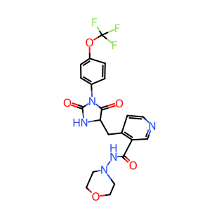 O=C(NN1CCOCC1)c1cnccc1CC1NC(=O)N(c2ccc(OC(F)(F)F)cc2)C1=O